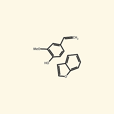 C=Cc1ccc(O)c(OC)c1.c1ccc2occc2c1